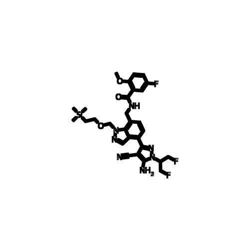 COc1ccc(F)cc1C(=O)NCc1ccc(-c2nn(C(CF)CF)c(N)c2C#N)c2cnn(COCC[Si](C)(C)C)c12